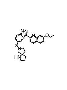 CCOc1ccc2ccc(-c3nnc4ccc([C@@H](C)N5CCC6(CCCN6)C5)cn34)nc2c1